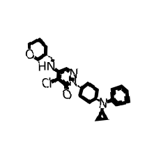 O=c1c(Cl)c(NC[C@H]2CCCOC2)cnn1[C@H]1CC[C@H](N(c2ccccc2)C2CC2)CC1